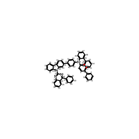 c1ccc(-c2ccc(N(c3ccc(-c4ccc5c6ccccc6n(-c6nc(-c7ccccc7)c7ccccc7n6)c5c4)cc3)c3ccccc3-c3ccccc3)cc2)cc1